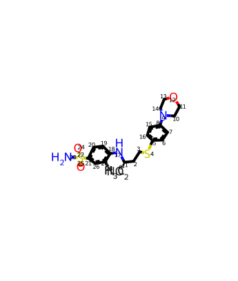 C[C@H](CCSc1ccc(N2CCOCC2)cc1)Nc1ccc(S(N)(=O)=O)cc1[N+](=O)[O-]